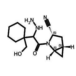 N#C[C@@H]1C[C@@H]2C[C@@H]2N1C(=O)C(NN)C1(CO)CCCCC1